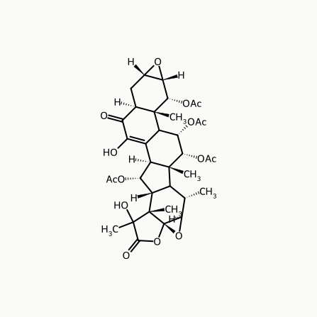 CC(=O)O[C@@H]1[C@H]2C3=C(O)C(=O)[C@H]4C[C@@H]5O[C@@H]5[C@H](OC(C)=O)[C@]4(C)C3[C@H](OC(C)=O)[C@H](OC(C)=O)[C@]2(C)C2[C@H](C)[C@H]3O[C@]34OC(=O)C(C)(O)[C@]4(C)[C@@H]21